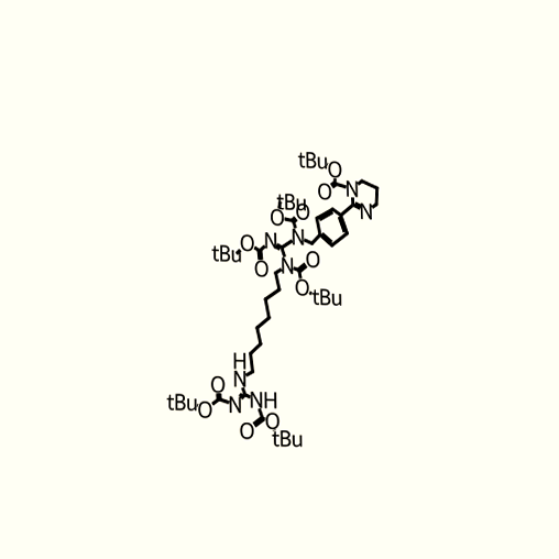 CC(C)(C)OC(=O)/N=C(\NCCCCCCCCN(C(=O)OC(C)(C)C)/C(=N\C(=O)OC(C)(C)C)N(Cc1ccc(C2=NCCCN2C(=O)OC(C)(C)C)cc1)C(=O)OC(C)(C)C)NC(=O)OC(C)(C)C